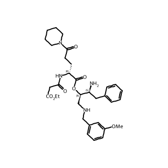 CCOC(=O)CC(=O)N[C@H](CCC(=O)N1CCCCC1)C(=O)O[C@H](CNCc1cccc(OC)c1)[C@@H](N)Cc1ccccc1